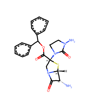 N[C@@H]1C(=O)N2C[C@@](C(=O)OC(c3ccccc3)c3ccccc3)(N3CCN(N)C3=O)S[C@H]12